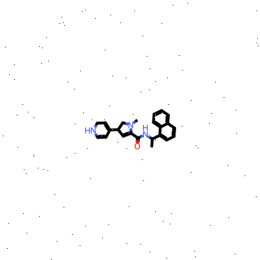 CC(NC(=O)C1=CC(C2=CCNC=C2)CN1C)c1cccc2ccccc12